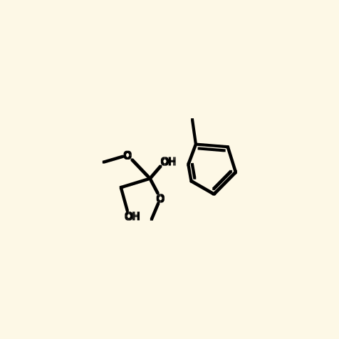 COC(O)(CO)OC.Cc1ccccc1